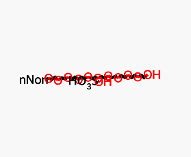 CCCCCCCCCOCCOCCOCCOCCOCCOCCOCCOCCOCCOCCO.O=S(=O)(O)O